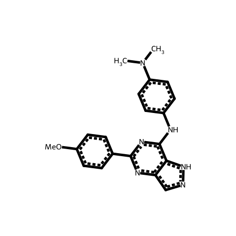 COc1ccc(-c2nc(Nc3ccc(N(C)C)cc3)c3[nH]ncc3n2)cc1